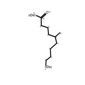 CCCCCCCCCCCCCCC(C)CCCC(=O)CCCCCCCCCC